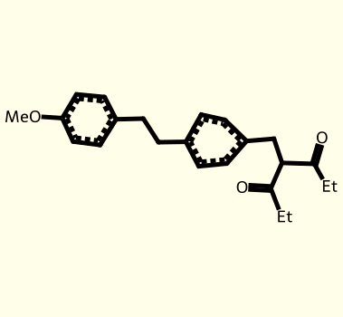 CCC(=O)C(Cc1ccc(CCc2ccc(OC)cc2)cc1)C(=O)CC